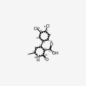 Cc1cc(-c2ccc(Cl)c(Cl)c2)c(C(=O)O)c(=O)[nH]1